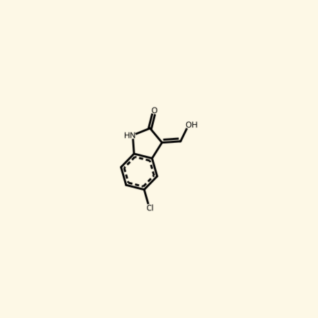 O=C1Nc2ccc(Cl)cc2C1=CO